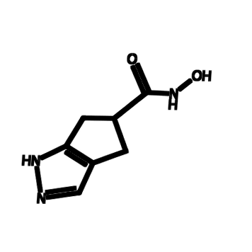 O=C(NO)C1Cc2cn[nH]c2C1